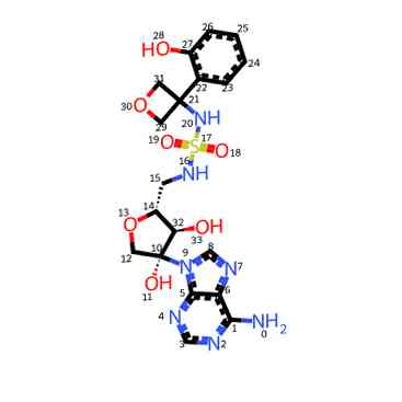 Nc1ncnc2c1ncn2[C@@]1(O)CO[C@H](CNS(=O)(=O)NC2(c3ccccc3O)COC2)[C@H]1O